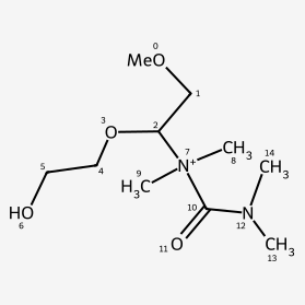 COCC(OCCO)[N+](C)(C)C(=O)N(C)C